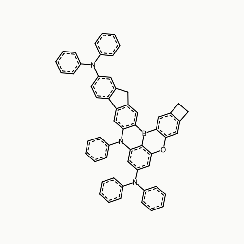 c1ccc(N(c2ccccc2)c2ccc3c(c2)Cc2cc4c(cc2-3)N(c2ccccc2)c2cc(N(c3ccccc3)c3ccccc3)cc3c2B4c2cc4c(cc2O3)CC4)cc1